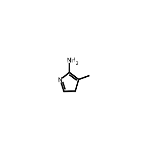 CC1=C(N)N=CC1